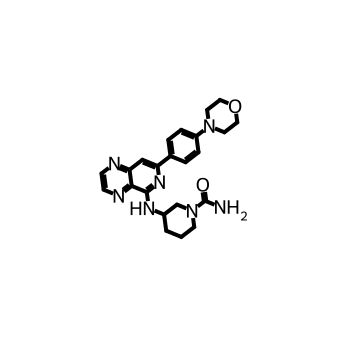 NC(=O)N1CCCC(Nc2nc(-c3ccc(N4CCOCC4)cc3)cc3nccnc23)C1